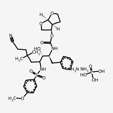 COc1ccc(S(=O)(=O)NC(CC(C)(C)CCC#N)[C@H](O)[C@H](Cc2ccccc2)NC(=O)O[C@H]2CO[C@H]3OCC[C@H]32)cc1.N.N.O=P(O)(O)O